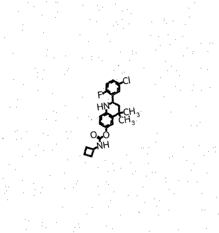 CC1(C)CC(c2cc(Cl)ccc2F)Nc2ccc(OC(=O)NC3CCC3)cc21